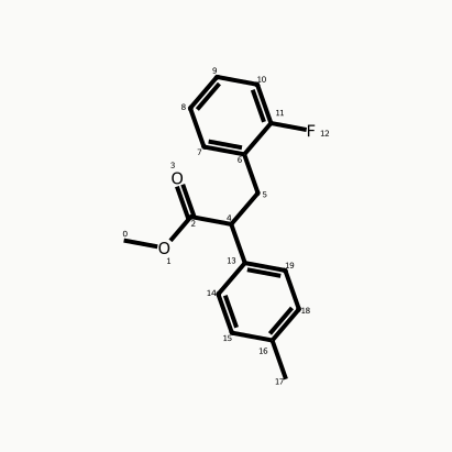 COC(=O)C(Cc1ccccc1F)c1ccc(C)cc1